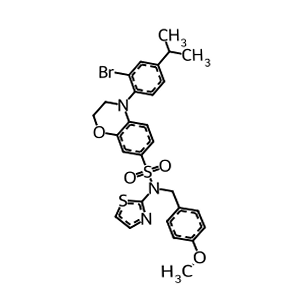 COc1ccc(CN(c2nccs2)S(=O)(=O)c2ccc3c(c2)OCCN3c2ccc(C(C)C)cc2Br)cc1